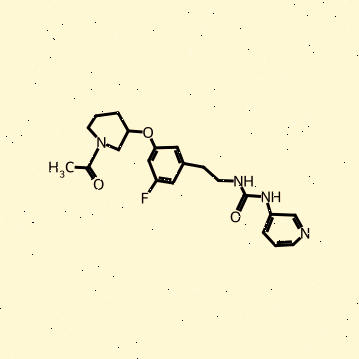 CC(=O)N1CCCC(Oc2cc(F)cc(CCNC(=O)Nc3cccnc3)c2)C1